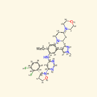 COc1cc(N2CCC(N3CCOCC3)CC2)c(-c2cnn(C)c2)cc1Nc1cc(N2OCC[C@@H]2c2cccc(F)c2F)ncn1